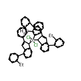 CCc1ccccc1-c1cccc2c1C=C(c1ccccc1)[CH]2[Zr]([Cl])([Cl])([c]1cccc2c1[SiH2]c1ccccc1-2)[CH]1C(c2ccccc2)=Cc2c(-c3ccccc3CC)cccc21